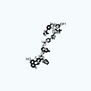 C#Cc1c(F)ccc2cc(O)cc(-c3ncc4c(N5CC6CCC(C5)N6)nc(OC[C@@]56CC[C@@H](COC(=O)N7CCC(n8cc(C(=O)N[C@H](C(=O)N9C[C@H](O)C[C@H]9C(=O)N[C@@H](C)c9ccc(-c%10scnc%10C)cc9)C(C)(C)C)nn8)CC7)N5CC(=C)C6)nc4c3F)c12